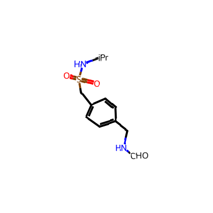 CC(C)NS(=O)(=O)Cc1ccc(CNC=O)cc1